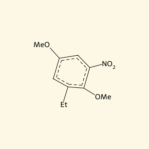 CCc1cc(OC)cc([N+](=O)[O-])c1OC